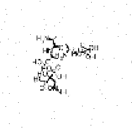 C[C@@H](N)C(=O)N[C@H](C)C(=O)O.C[C@@H](N)C(=O)O.NCCC(O)(P(=O)(O)O)P(=O)(O)O.O=P(O)(O)O